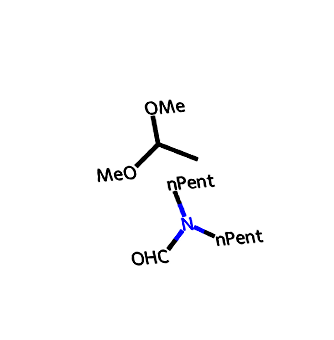 CCCCCN(C=O)CCCCC.COC(C)OC